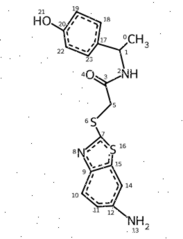 CC(NC(=O)CSc1nc2ccc(N)cc2s1)c1ccc(O)cc1